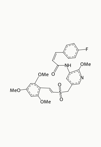 COc1cc(OC)c(/C=C/S(=O)(=O)Cc2cnc(OC)c(NC(=O)/C=C\c3ccc(F)cc3)c2)c(OC)c1